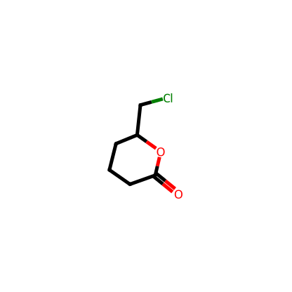 O=C1CCCC(CCl)O1